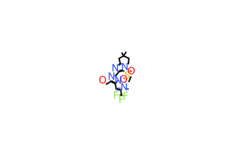 CCS(=O)(=O)c1c(-c2nc(/C=C(\N(C)C)C(F)(F)F)c(C=O)n2C)nc2n1CCC(C)(C)C2